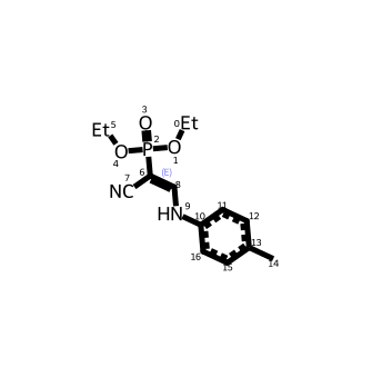 CCOP(=O)(OCC)/C(C#N)=C/Nc1ccc(C)cc1